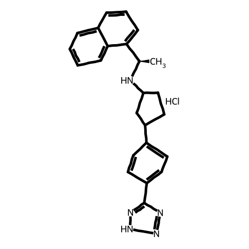 C[C@@H](NC1CCC(c2ccc(-c3nn[nH]n3)cc2)C1)c1cccc2ccccc12.Cl